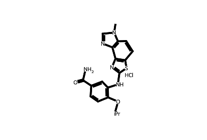 CC(C)Oc1ccc(C(N)=O)cc1Nc1nc2c(ccc3c2ncn3C)s1.Cl